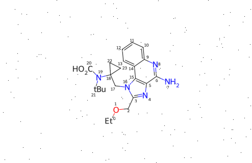 CCOCc1nc2c(N)nc3ccccc3c2n1CC1(N(C(=O)O)C(C)(C)C)CC1